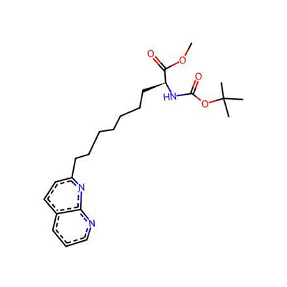 COC(=O)[C@H](CCCCCCCc1ccc2cccnc2n1)NC(=O)OC(C)(C)C